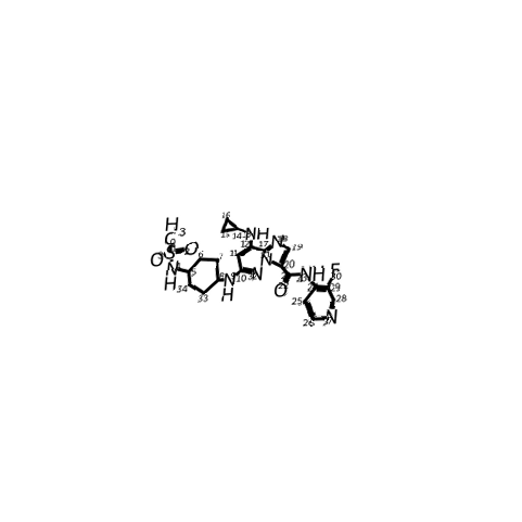 CS(=O)(=O)NC1CCC(Nc2cc(NC3CC3)c3ncc(C(=O)Nc4ccncc4F)n3n2)CC1